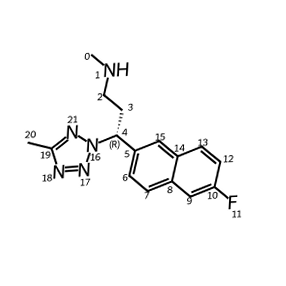 CNCC[C@H](c1ccc2cc(F)ccc2c1)n1nnc(C)n1